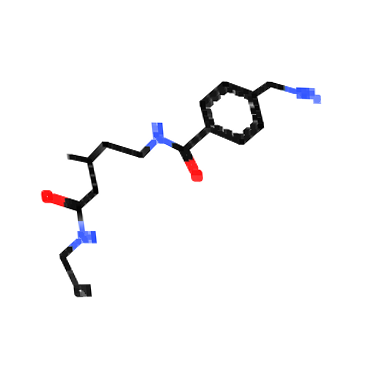 CC(CCNC(=O)c1ccc(CN)cc1)CC(=O)NCC#N